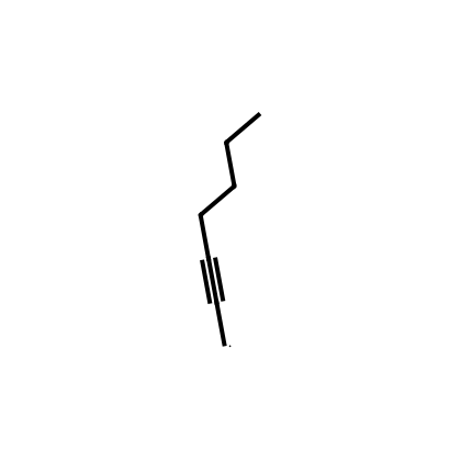 [CH2]C#CCCCC